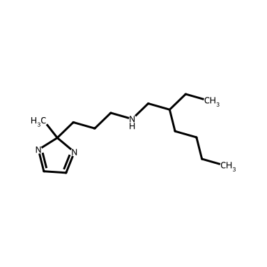 CCCCC(CC)CNCCCC1(C)N=CC=N1